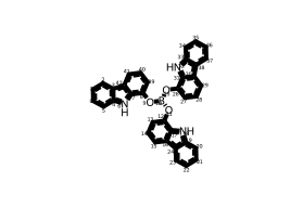 c1ccc2c(c1)[nH]c1c(OB(Oc3cccc4c3[nH]c3ccccc34)Oc3cccc4c3[nH]c3ccccc34)cccc12